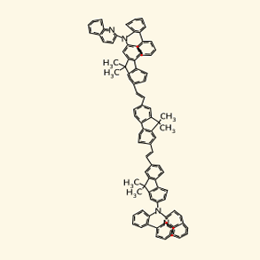 CC1(C)c2cc(/C=C/c3ccc4c(c3)C(C)(C)c3cc(N(c5ccc6ccccc6n5)c5ccccc5-c5ccccc5)ccc3-4)ccc2-c2ccc(/C=C/c3ccc4c(c3)C(C)(C)c3cc(N(c5ccc6ccccc6n5)c5ccccc5-c5ccccc5)ccc3-4)cc21